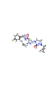 Cc1nc(N2CCN(CC3CC3)C2=O)sc1C(=O)NCc1ccc(F)cc1